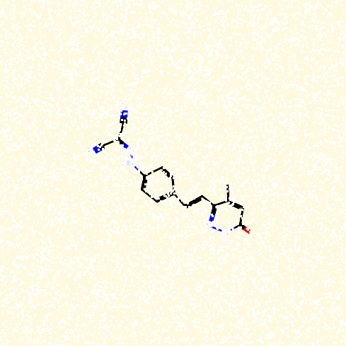 Cc1cc(=O)[nH]nc1/C=C/c1ccc(NN=C(C#N)C#N)cc1